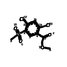 COC(=O)c1cc(S(C)(=O)=O)c(Cl)cc1Cl